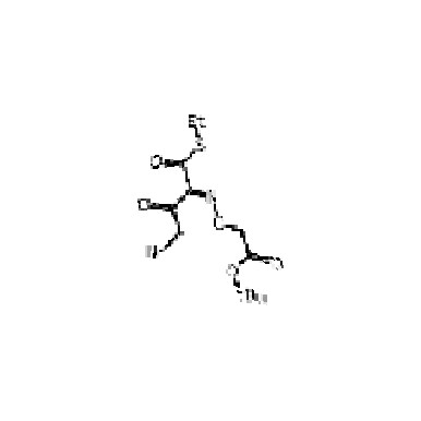 CCSC(=O)C(=NOCC(=O)OC(C)(C)C)C(=O)CBr